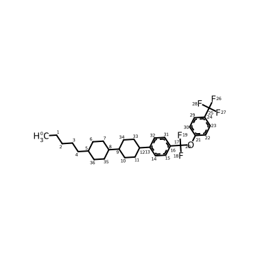 CCCCCC1CCC(C2CCC(c3ccc(C(F)(F)Oc4ccc(C(F)(F)F)cc4)cc3)CC2)CC1